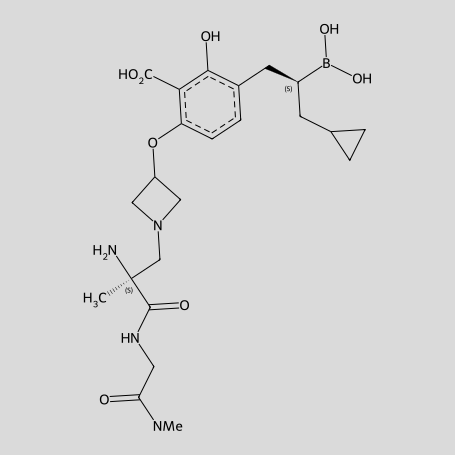 CNC(=O)CNC(=O)[C@@](C)(N)CN1CC(Oc2ccc(C[C@H](CC3CC3)B(O)O)c(O)c2C(=O)O)C1